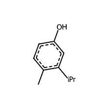 Cc1ccc(O)cc1C(C)C